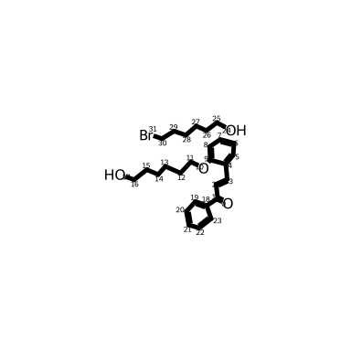 O=C(C=Cc1ccccc1OCCCCCCO)c1ccccc1.OCCCCCCBr